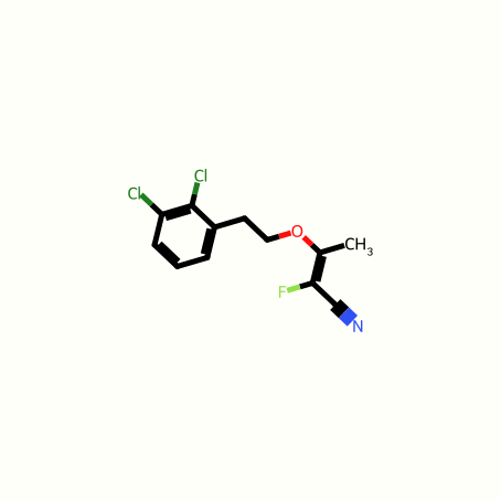 CC(OCCc1cccc(Cl)c1Cl)=C(F)C#N